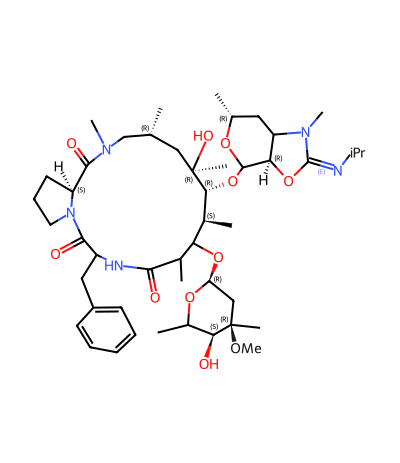 CO[C@]1(C)C[C@H](OC2C(C)C(=O)NC(Cc3ccccc3)C(=O)N3CCC[C@H]3C(=O)N(C)C[C@H](C)C[C@@](C)(O)[C@H](OC3O[C@H](C)CC4[C@H]3O/C(=N/C(C)C)N4C)[C@H]2C)OC(C)[C@@H]1O